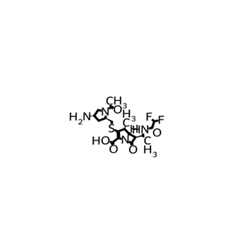 CC(=O)N1C[C@@H](N)C[C@@H]1CSC1=C(C(=O)O)N2C(=O)[C@H](C(C)NC(=O)C(F)F)[C@H]2[C@H]1C